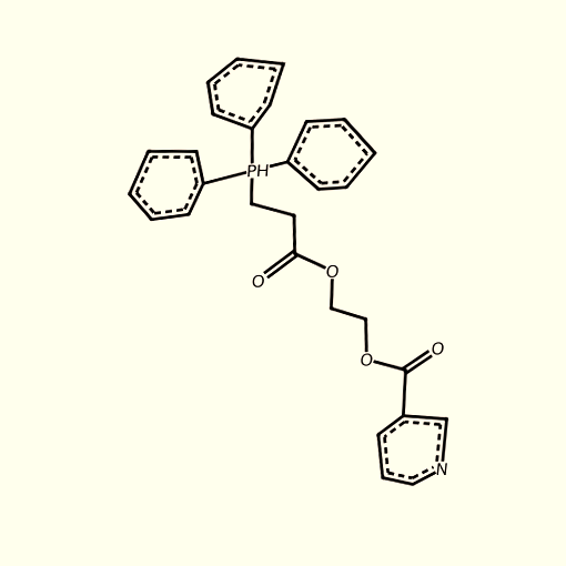 O=C(CC[PH](c1ccccc1)(c1ccccc1)c1ccccc1)OCCOC(=O)c1cccnc1